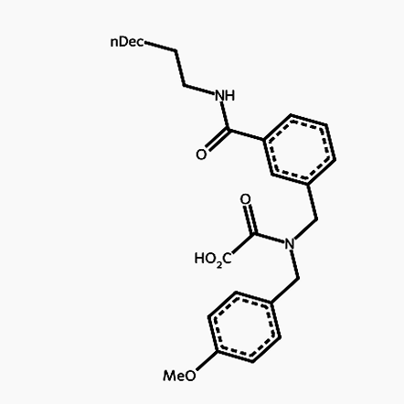 CCCCCCCCCCCCNC(=O)c1cccc(CN(Cc2ccc(OC)cc2)C(=O)C(=O)O)c1